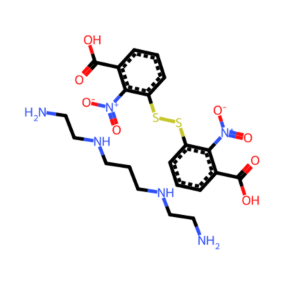 NCCNCCCNCCN.O=C(O)c1cccc(SSc2cccc(C(=O)O)c2[N+](=O)[O-])c1[N+](=O)[O-]